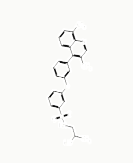 Cc1cnc2c(C(F)(F)F)cccc2c1-c1cccc(Oc2cccc(S(=O)(=O)NCC(C)O)c2)c1